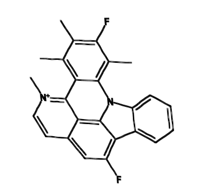 Cc1c(F)c(C)c2c(c1C)c1c3c(cc[n+]1C)cc(F)c1c4ccccc4n2c13